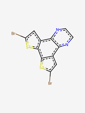 Brc1cc2c3nccnc3c3cc(Br)sc3c2s1